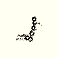 COc1cc2ncnc(N3CCN(c4ncc(N(C)Cc5ccccc5)cn4)CC3)c2cc1OC